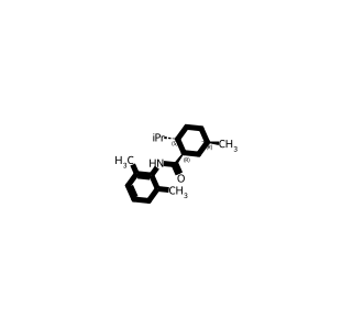 CC1=C(NC(=O)[C@@H]2C[C@H](C)CC[C@H]2C(C)C)C(C)CC=C1